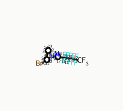 FC(F)(F)C(F)(F)C(F)(F)C(F)(F)C(F)(F)C(F)(F)c1ccc(-n2c3ccccc3c3cc(Br)ccc32)nc1